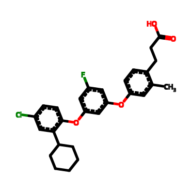 Cc1cc(Oc2cc(F)cc(Oc3ccc(Cl)cc3C3CCCCC3)c2)ccc1CCC(=O)O